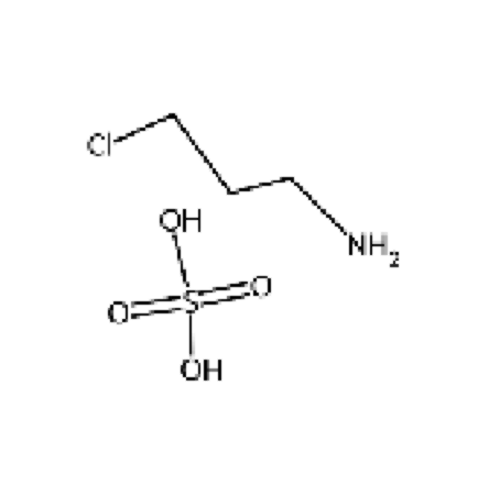 NCCCCl.O=S(=O)(O)O